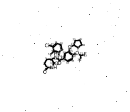 O=C1CC[C@@](Cc2c(Cl)cccc2Cl)(NC(=O)c2ccc(OC(F)F)c(OC3CCCC3)c2)C(=O)N1